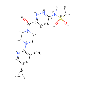 Cc1cc(C2CC2)cnc1N1CCN(C(=O)c2ccc(N3CCCS3(=O)=O)nn2)CC1